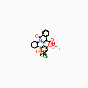 COc1cc(Cl)ccc1[C@H]1[C@H](C(=O)O)c2ccccc2C(=O)N1[C@@H]1CCCC[C@H]1NS(C)(=O)=O